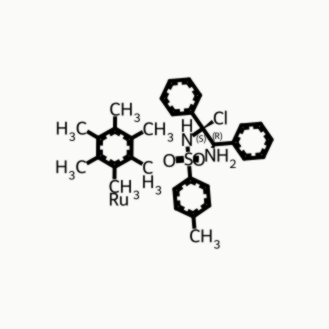 Cc1c(C)c(C)c(C)c(C)c1C.Cc1ccc(S(=O)(=O)N[C@](Cl)(c2ccccc2)[C@H](N)c2ccccc2)cc1.[Ru]